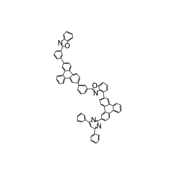 c1ccc(-c2cc(-c3ccccc3)nc(-c3ccc4c5ccccc5c5cc(-c6cccc7oc(-c8cccc(-c9ccc%10c%11ccc(-c%12cccc(-c%13nc%14ccccc%14o%13)c%12)cc%11c%11ccccc%11c%10c9)c8)nc67)ccc5c4c3)n2)cc1